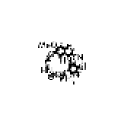 COc1cc2ncc(C#N)c3c2cc1OCCCNC(=O)CN(C)Cc1cc(F)c(Cl)cc1N3